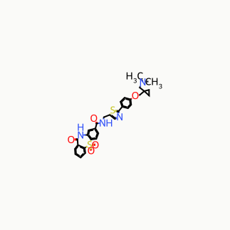 CN(C)CC1(COc2ccc(-c3ncc(CNC(=O)c4ccc5c(c4)NC(=O)c4ccccc4S5(=O)=O)s3)cc2)CC1